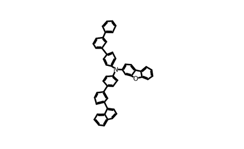 c1ccc(-c2cccc(-c3ccc(N(c4ccc(-c5cccc(-c6cccc7ccccc67)c5)cc4)c4ccc5c(c4)oc4ccccc45)cc3)c2)cc1